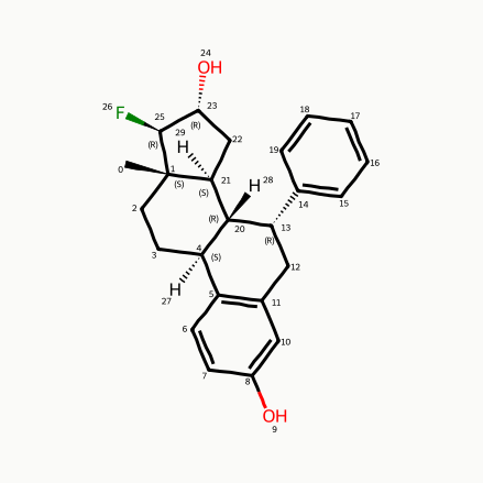 C[C@]12CC[C@@H]3c4ccc(O)cc4C[C@@H](c4ccccc4)[C@H]3[C@@H]1C[C@@H](O)[C@@H]2F